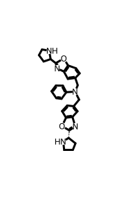 c1ccc(N(Cc2ccc3oc(C4CCCN4)nc3c2)Cc2ccc3oc([C@@H]4CCCN4)nc3c2)cc1